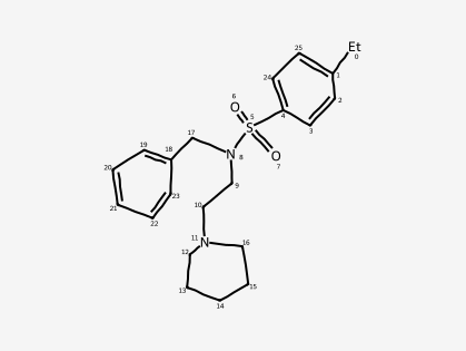 CCc1ccc(S(=O)(=O)N(CCN2CCCCC2)Cc2ccccc2)cc1